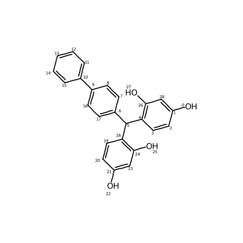 Oc1ccc(C(c2ccc(-c3ccccc3)cc2)c2ccc(O)cc2O)c(O)c1